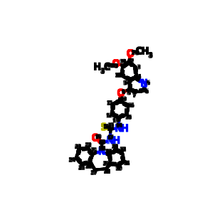 COc1cc2nccc(Oc3ccc(NC(=S)NC(=O)N4c5ccccc5CCc5ccccc54)cc3)c2cc1OC